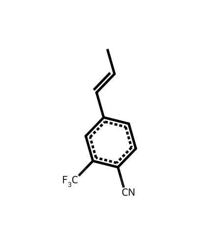 CC=Cc1ccc(C#N)c(C(F)(F)F)c1